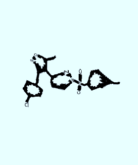 Cc1ccc(S(=O)(=O)n2ccc(-c3c(-c4ccc(Cl)cc4)noc3C)n2)cc1